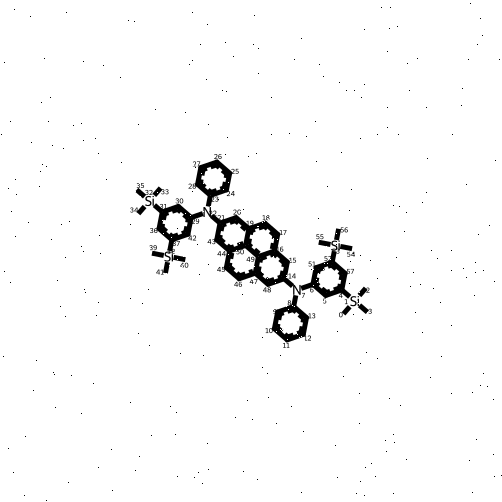 C[Si](C)(C)c1cc(N(c2ccccc2)c2cc3ccc4cc(N(c5ccccc5)c5cc([Si](C)(C)C)cc([Si](C)(C)C)c5)cc5ccc(c2)c3c45)cc([Si](C)(C)C)c1